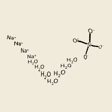 O.O.O.O.O.O.O.[Na+].[Na+].[Na+].[Na+].[O-][Si]([O-])([O-])[O-]